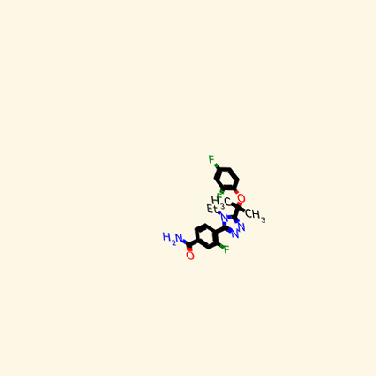 CCn1c(-c2ccc(C(N)=O)cc2F)nnc1C(C)(C)Oc1ccc(F)cc1F